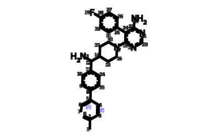 C=C(C)/C=C\C(=C/C)c1ccc(C(N)C2CCN(c3ncnc(N)c3-c3ccc(F)cc3)CC2)cc1